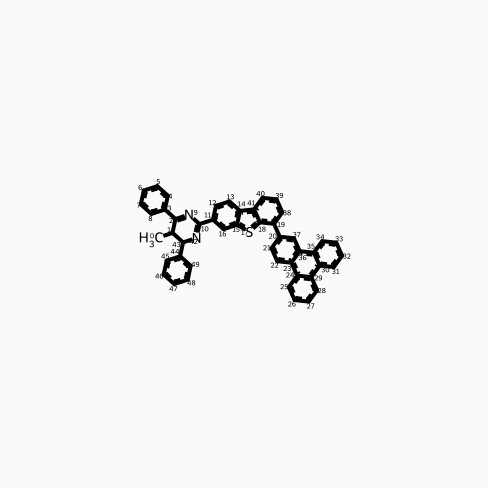 CC1C(c2ccccc2)=NC(c2ccc3c(c2)sc2c(-c4ccc5c6ccccc6c6ccccc6c5c4)cccc23)=NC1c1ccccc1